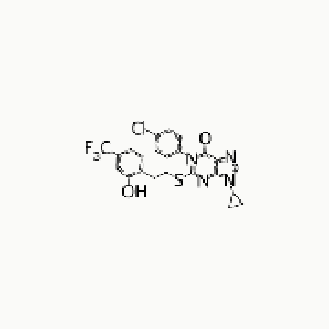 O=c1c2ncn(C3CC3)c2nc(SCCc2ccc(C(F)(F)F)cc2O)n1-c1ccc(Cl)cc1